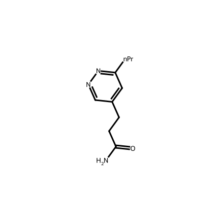 CCCc1cc(CCC(N)=O)cnn1